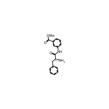 COC(=O)c1cccc(NC(=O)[C@@H](N)Cc2ccccc2)c1